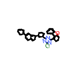 Clc1nc(-c2cccc(-c3ccc4ccc(-c5ccccc5)cc4c3)c2)nc(-c2cccc3oc4ccccc4c23)n1